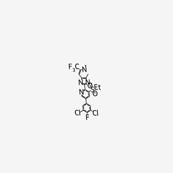 C=N/C(=C\c1nc(-c2ncc(-c3cc(Cl)c(F)c(Cl)c3)cc2S(=O)(=O)CC)n(C)c1C)C(F)(F)F